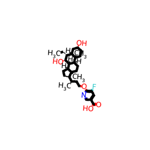 CC[C@H]1[C@@H](O)[C@@H]2[C@H](CC[C@]3(C)[C@@H]([C@H](C)CCOc4ncc(C(=O)O)cc4F)CC[C@@H]23)[C@@]2(C)CC[C@@H](O)C[C@@H]12